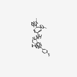 COc1cc(Nc2nccc3[nH]c(-c4ccc(F)cc4)nc23)ccc1-n1cnc(C)c1